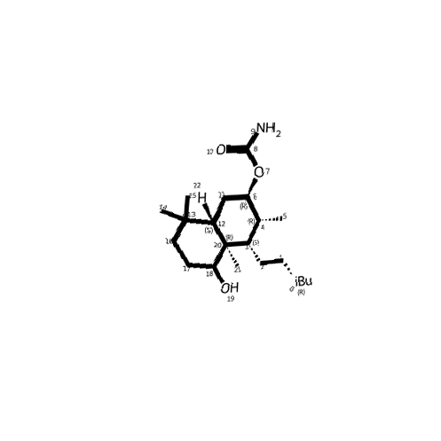 CC[C@@H](C)CC[C@H]1[C@@H](C)[C@H](OC(N)=O)C[C@H]2C(C)(C)CCC(O)[C@]12C